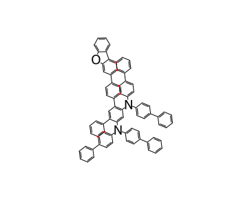 c1ccc(-c2ccc(N(c3ccc(-c4ccccc4)cc3)c3cc(N(c4ccc(-c5ccccc5)cc4)c4ccc(-c5ccccc5)cc4)c(-c4ccc(-c5ccc6c(c5)oc5ccccc56)cc4)cc3-c3ccccc3)cc2)cc1